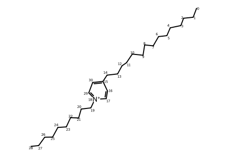 CCCCCCCCCCCCCCCc1cc[n+](CCCCCCCCCC)cc1